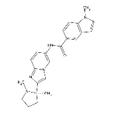 CN1CCC[C@]1(C)c1cn2cc(NC(=O)c3ccc4c(cnn4C)c3)ccc2n1